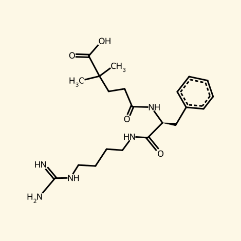 CC(C)(CCC(=O)N[C@@H](Cc1ccccc1)C(=O)NCCCCNC(=N)N)C(=O)O